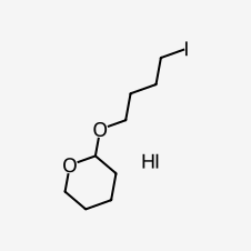 I.ICCCCOC1CCCCO1